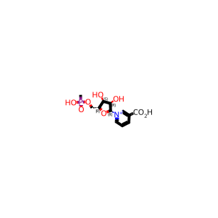 CP(=O)(O)OC[C@H]1O[C@@H]([n+]2cccc(C(=O)O)c2)[C@H](O)[C@@H]1O